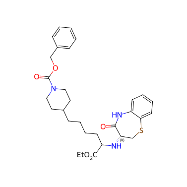 CCOC(=O)C(CCCCC1CCN(C(=O)OCc2ccccc2)CC1)N[C@H]1CSc2ccccc2NC1=O